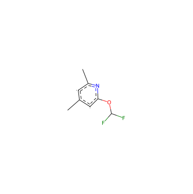 Cc1[c]c(C)nc(OC(F)F)[c]1